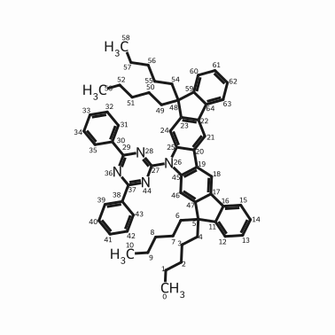 CCCCCC1(CCCCC)c2ccccc2-c2cc3c4cc5c(cc4n(-c4nc(-c6ccccc6)nc(-c6ccccc6)n4)c3cc21)C(CCCCC)(CCCCC)c1ccccc1-5